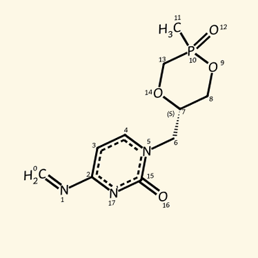 C=Nc1ccn(C[C@H]2COP(C)(=O)CO2)c(=O)n1